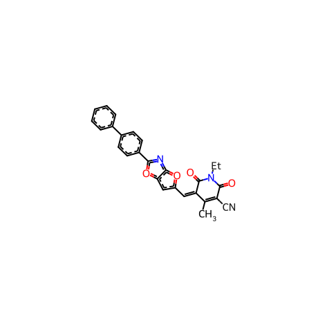 CCN1C(=O)C(C#N)=C(C)/C(=C/c2cc3oc(-c4ccc(-c5ccccc5)cc4)nc3o2)C1=O